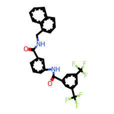 O=C(NCc1cccc2ccccc12)c1cccc(NC(=O)c2cc(C(F)(F)F)cc(C(F)(F)F)c2)c1